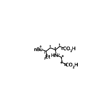 CCCCC(CC)CC(CC(=O)O)NCCC(=O)O